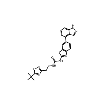 CC(C)(C)c1nc(CCNC(=O)Nc2nc3ccc(-c4cccc5[nH]ncc45)cc3s2)no1